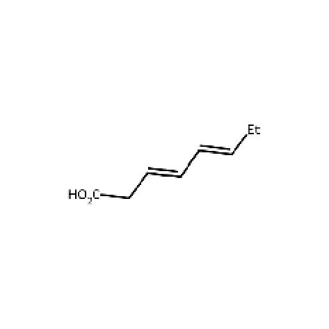 CCC=CC=CCC(=O)O